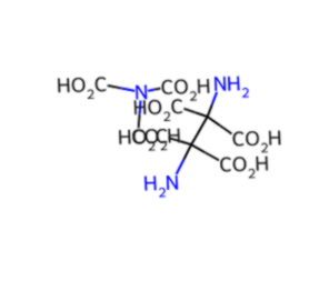 NC(C(=O)O)(C(=O)O)C(N)(C(=O)O)C(=O)O.O=C(O)N(C(=O)O)C(=O)O